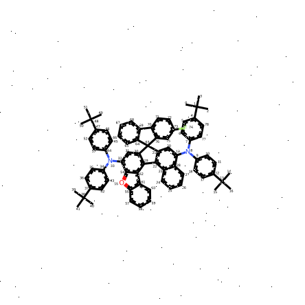 CC(C)(C)c1ccc(N(c2ccc(C(C)(C)C)cc2)c2cc3c(c4ccccc24)-c2c(cc(N(c4ccc(C(C)(C)C)cc4)c4ccc(C(C)(C)C)cc4)c4oc5ccccc5c24)C32c3ccccc3-c3ccc(F)cc32)cc1